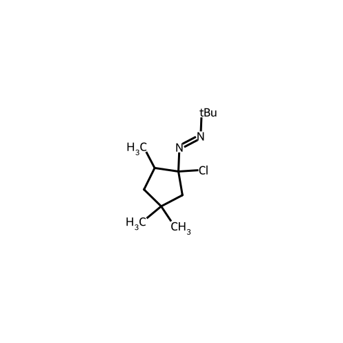 CC1CC(C)(C)CC1(Cl)/N=N/C(C)(C)C